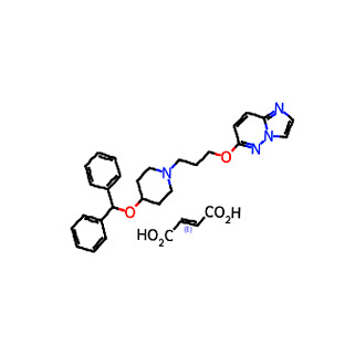 O=C(O)/C=C/C(=O)O.c1ccc(C(OC2CCN(CCCOc3ccc4nccn4n3)CC2)c2ccccc2)cc1